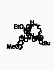 C=Cc1cc2c(O[C@@H]3C[C@H]4C(=O)N[C@]5(C(=O)OCC)C[C@H]5/C=C\CCCCC[C@H](NC(=O)OC(C)(C)C)C(=O)N4C3)nccc2cc1OC